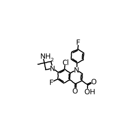 CC1(N)CN(c2c(F)cc3c(=O)c(C(=O)O)cn(-c4ccc(F)cc4)c3c2Cl)C1